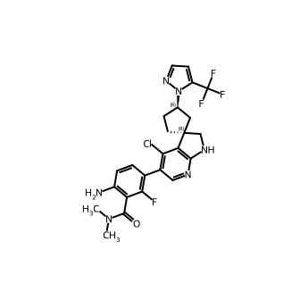 CN(C)C(=O)c1c(N)ccc(-c2cnc3c(c2Cl)[C@]2(CC[C@@H](n4nccc4C(F)(F)F)C2)CN3)c1F